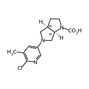 Cc1cc(N2C[C@H]3CCN(C(=O)O)[C@H]3C2)cnc1Cl